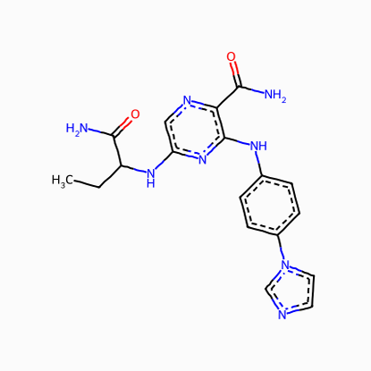 CCC(Nc1cnc(C(N)=O)c(Nc2ccc(-n3ccnc3)cc2)n1)C(N)=O